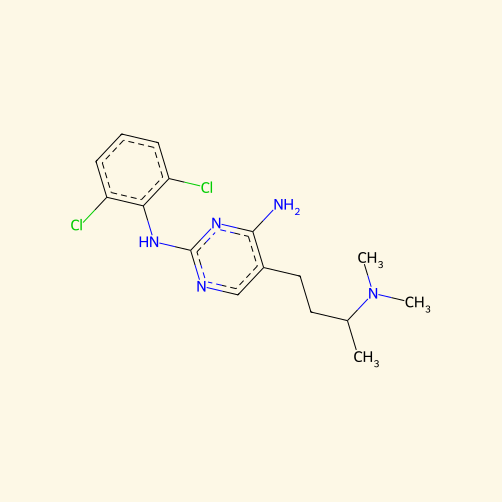 CC(CCc1cnc(Nc2c(Cl)cccc2Cl)nc1N)N(C)C